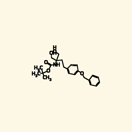 CC(C)(C)OC(=O)NC(CO)(CO)CCc1ccc(OCc2ccccc2)cc1